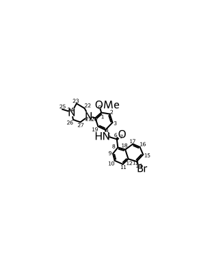 COc1ccc(NC(=O)c2cccc3c(Br)cccc23)cc1N1CCN(C)CC1